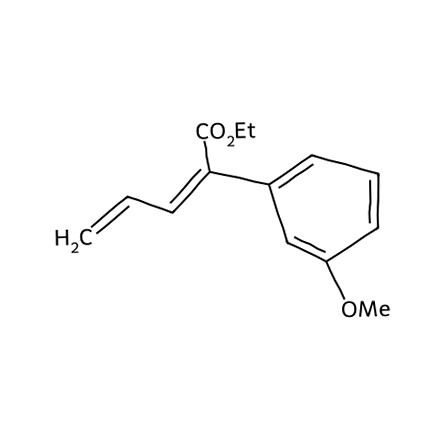 C=CC=C(C(=O)OCC)c1cccc(OC)c1